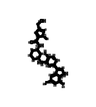 Cn1nc(CO)cc1C(=O)N[C@@H]1CCC[C@H](Nc2nc(-c3c[nH]c4c(F)cc(F)cc34)ncc2F)C1